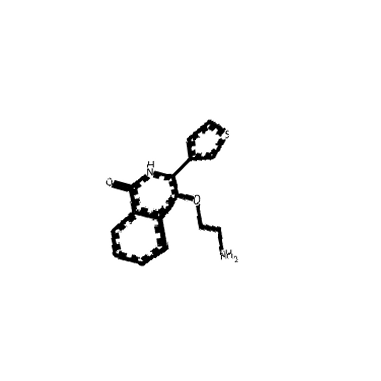 NCCOc1c(-c2ccsc2)[nH]c(=O)c2ccccc12